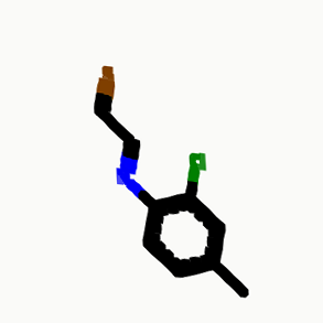 Cc1ccc(N=CC=S)c(Cl)c1